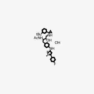 CC(=O)N[C@@H](Cc1ccc(Nc2cc(-c3ccc(F)cc3)n(C)n2)cc1)[C@@H](O)CNC1(c2cccc(C(C)(C)C)c2)CC1.Cl